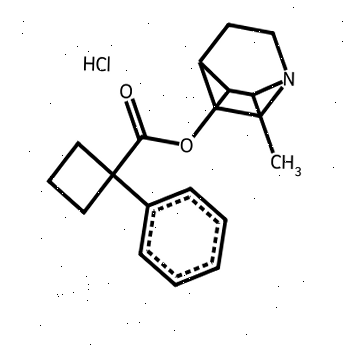 CC1C(OC(=O)C2(c3ccccc3)CCC2)C2CCN1CC2.Cl